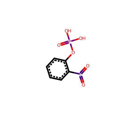 O=I(=O)c1ccccc1OP(=O)(O)O